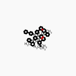 CC(C)(C)c1ccc(N2c3ccc(N4c5ccccc5C5(C)CCCCC45C)cc3B3c4cc(-c5ccccc5)ccc4N(c4ccc(-c5ccccc5)cc4)c4cc(N5c6ccccc6C6(C)CCCCC56C)cc2c43)c(-c2ccccc2)c1